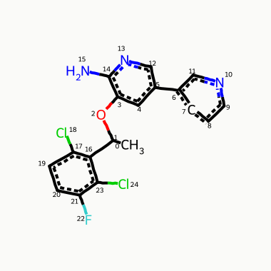 CC(Oc1cc(-c2cccnc2)cnc1N)c1c(Cl)ccc(F)c1Cl